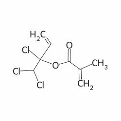 C=CC(Cl)(OC(=O)C(=C)C)C(Cl)Cl